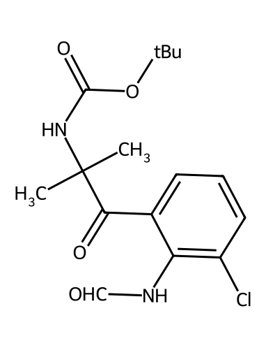 CC(C)(C)OC(=O)NC(C)(C)C(=O)c1cccc(Cl)c1NC=O